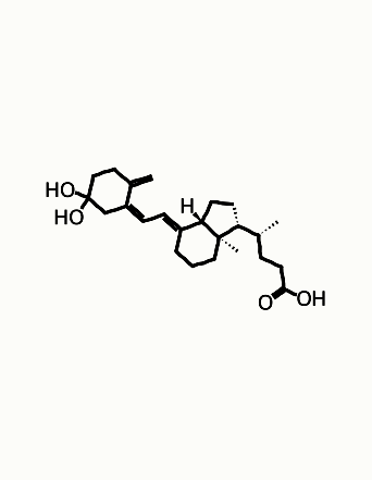 C=C1CCC(O)(O)C/C1=C/C=C1CCC[C@]2(C)[C@@H]([C@H](C)CCC(=O)O)CC[C@@H]12